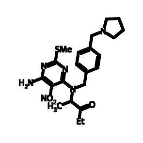 CCC(=O)C(C)N(Cc1ccc(CN2CCCC2)cc1)c1nc(SC)nc(N)c1[N+](=O)[O-]